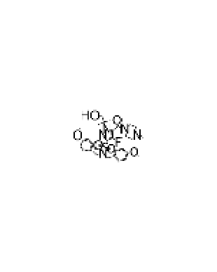 COc1ccc(CN(Cc2ccc(OC)cc2)S(=O)(=O)c2nn(C(C)(C)CO)c(C(=O)N3CCN(C)CC3)c2F)cc1